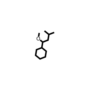 CO[C](CC(C)C)C1CCCCC1